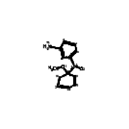 COC1([S+]([O-])c2cccc(N)c2)C=CC=CC1